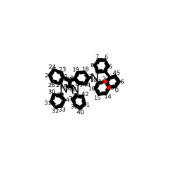 c1ccc(-c2ccccc2N(c2ccccc2)c2ccc3c4c5ccccc5n(-c5ccccc5)c4n(-c4ccccc4)c3c2)cc1